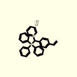 C=Cc1ccc(C([n+]2ccccc2)[P+](c2ccccc2)(c2ccccc2)c2ccccc2)cc1.[Cl-].[Cl-]